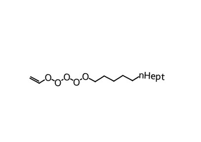 C=COOOOOCCCCCCCCCCCC